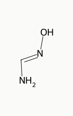 NC=NO